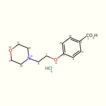 Cl.O=C(O)c1ccc(OCCN2CCOCC2)cc1